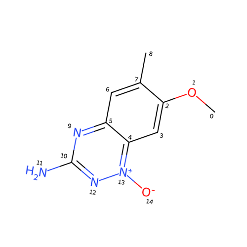 COc1cc2c(cc1C)nc(N)n[n+]2[O-]